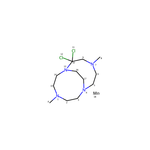 CN1CCN2CCN(C)CC(Cl)(Cl)N(CC1)CC2.[Mn]